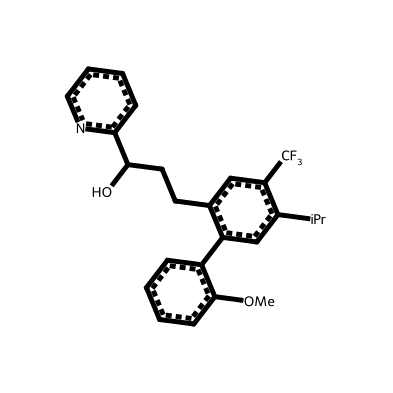 COc1ccccc1-c1cc(C(C)C)c(C(F)(F)F)cc1CCC(O)c1ccccn1